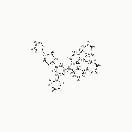 c1ccc(-c2ccc(-c3nc(-c4ccccc4)nc(-n4c5cccc6c7ccccc7n7c8ccccc8c8ccc4c(c65)c87)n3)cc2)cc1